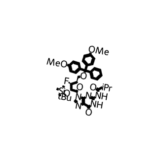 COc1ccc(C(OC[C@H]2O[C@@H](n3cnc4c(=O)[nH]c(NC(=O)C(C)C)nc43)[C@H](O[Si](C)(C)C(C)(C)C)[C@H]2F)(c2ccccc2)c2ccc(OC)cc2)cc1